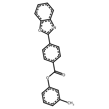 Cc1cccc(OC(=O)c2ccc(-c3nc4ccccc4o3)cc2)c1